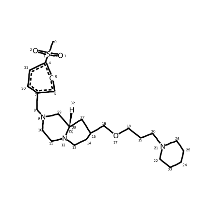 CS(=O)(=O)c1ccc(CN2CCN3CCC(COCCCN4CCCCC4)C[C@H]3C2)cc1